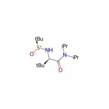 CC(C)N(C(=O)[C@H](N[S@@+]([O-])C(C)(C)C)C(C)(C)C)C(C)C